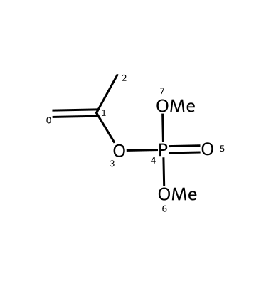 C=C(C)OP(=O)(OC)OC